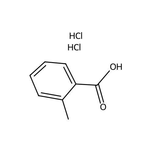 Cc1ccccc1C(=O)O.Cl.Cl